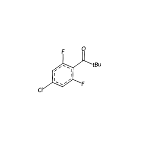 CC(C)(C)C(=O)c1c(F)cc(Cl)cc1F